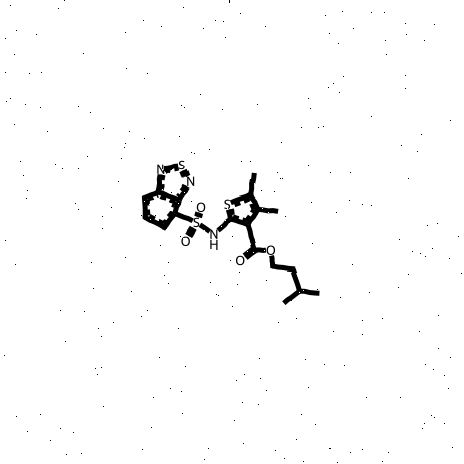 Cc1sc(NS(=O)(=O)c2cccc3nsnc23)c(C(=O)OCCC(C)C)c1C